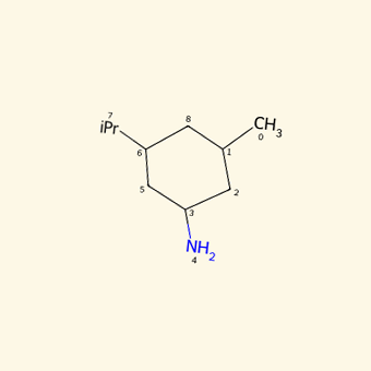 CC1CC(N)CC(C(C)C)C1